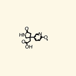 COc1ccc(C2(CC(=O)O)CNC(=O)C2)cn1